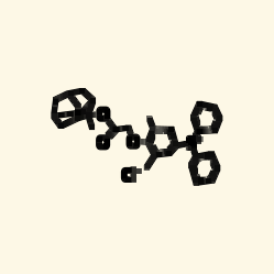 Cc1cc([S+](c2ccccc2)c2ccccc2)cc(C)c1OCC(=O)OC1(C)C2CC3CC(C2)CC1C3.[Cl-]